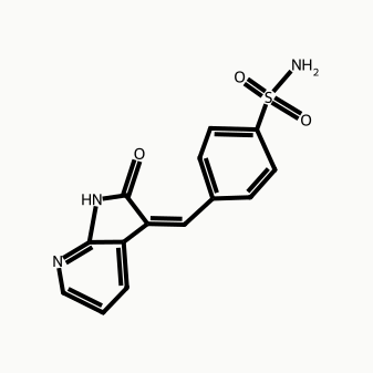 NS(=O)(=O)c1ccc(C=C2C(=O)Nc3ncccc32)cc1